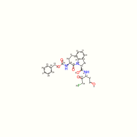 O=CCC(NC(=O)[C@@H]1Cc2cccc3c2N1C(=O)[C@@H](NC(=O)OCc1ccccc1)CC3)C(=O)CF